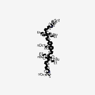 CCCCCCCCC(CCCCCCCC)n1c2cc(-c3ccc(C4=C5C(=O)N(CC(CC)CCCC)C(c6ccc(-c7ccc(/C=C8/SC(=S)N(CCCCCCCC)C8=O)s7)s6)=C5C(=O)N4CC(CC)CCCC)s3)ccc2c2ccc(-c3ccc(C4=C5C(=O)N(CC(CC)CCCC)C(c6ccc(-c7ccc(/C=C8/SC(=S)N(CCCCCCCC)C8=O)s7)s6)=C5C(=O)N4CC(CC)CCCC)s3)cc21